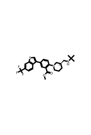 COC(=O)c1cc(-c2csc3cc(C(F)(F)F)ccc23)ccc1N1CCC[C@H](CNC(C)(C)C)C1